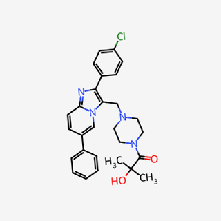 CC(C)(O)C(=O)N1CCN(Cc2c(-c3ccc(Cl)cc3)nc3ccc(-c4ccccc4)cn23)CC1